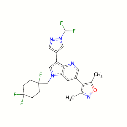 Cc1noc(C)c1-c1cnc2c(-c3cnn(C(F)F)c3)cn(CC3(F)CCC(F)(F)CC3)c2c1